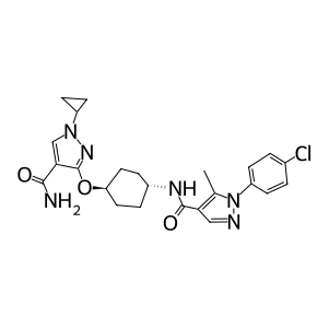 Cc1c(C(=O)N[C@H]2CC[C@H](Oc3nn(C4CC4)cc3C(N)=O)CC2)cnn1-c1ccc(Cl)cc1